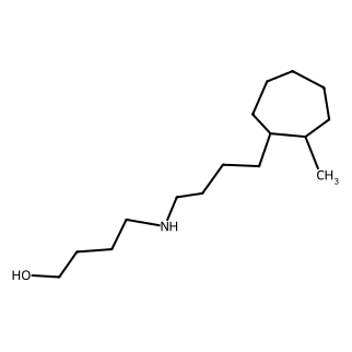 CC1CCCCCC1CCCCNCCCCO